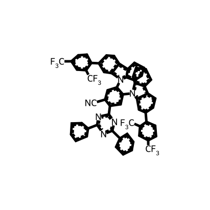 N#Cc1cc(-n2c3ccccc3c3ccc(-c4ccc(C(F)(F)F)cc4C(F)(F)F)cc32)c(-n2c3ccccc3c3ccc(-c4ccc(C(F)(F)F)cc4C(F)(F)F)cc32)cc1-c1nc(-c2ccccc2)nc(-c2ccccc2)n1